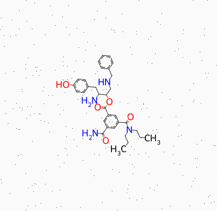 CCCN(CCC)C(=O)c1cc(C(N)=O)cc(C(=O)OC(CNCc2ccccc2)C(N)Cc2ccc(O)cc2)c1